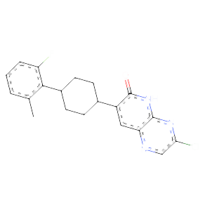 Cc1cccc(F)c1C1CCC(c2cc3ncc(Cl)nc3[nH]c2=O)CC1